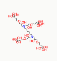 OC(COCCC[Si](O)(O)O)CN(CCCCCCN(CC(O)COCCC[Si](O)(O)O)CC(O)COCCC[Si](O)(O)O)CC(O)COCCC[Si](O)(O)O